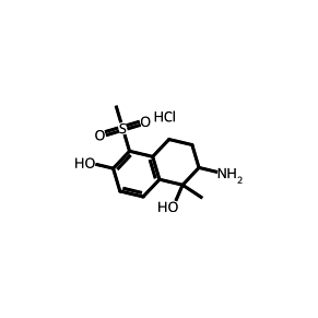 CC1(O)c2ccc(O)c(S(C)(=O)=O)c2CCC1N.Cl